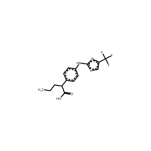 CCCC(C(=O)O)c1ccc(Nc2nc(C(F)(F)F)cs2)cc1